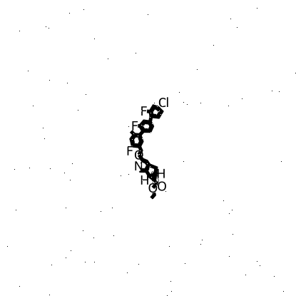 CCOC(=O)[C@H]1[C@@H]2Cc3cc(OCc4cc(-c5ccc(-c6ccc(Cl)cc6F)cc5F)c(C)cc4F)ncc3[C@@H]21